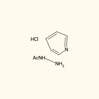 CC(=O)NN.Cl.c1ccncc1